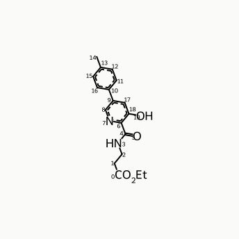 CCOC(=O)CCNC(=O)c1ncc(-c2ccc(C)cc2)cc1O